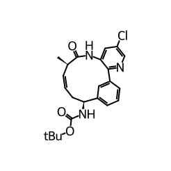 C[C@@H]1C=CC[C@H](NC(=O)OC(C)(C)C)c2cccc(c2)-c2ncc(Cl)cc2NC1=O